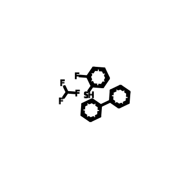 FC(F)F.Fc1ccccc1S.c1ccc(-c2ccccc2)cc1